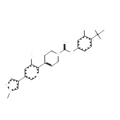 Cn1cc(-c2cnc(C3=CCN(C(=N)Nc4ccc(C(C)(F)F)c(Cl)c4)CC3)c(Cl)c2)cn1